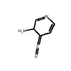 NC1C=NC=CC1=C=O